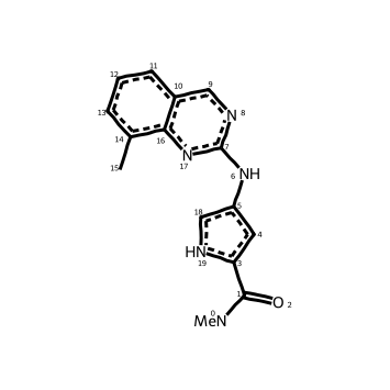 CNC(=O)c1cc(Nc2ncc3cccc(C)c3n2)c[nH]1